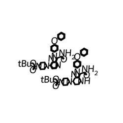 CC(C)(C)OC(=O)N1CCN([C@H]2CCNc3c2nn(-c2ccc(Oc4ccccc4)cc2)c3C(N)=O)CC1.CC(C)(C)OC(=O)N1CCN(c2ccnc3c(C(N)=O)n(-c4ccc(Oc5ccccc5)cc4)nc23)CC1